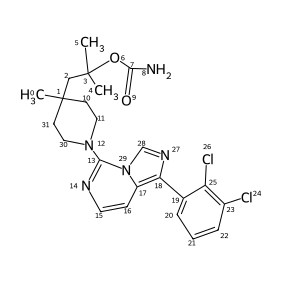 CC1(CC(C)(C)OC(N)=O)CCN(c2nccc3c(-c4cccc(Cl)c4Cl)ncn23)CC1